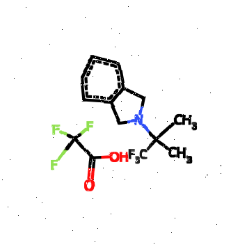 CC(C)(N1Cc2ccccc2C1)C(F)(F)F.O=C(O)C(F)(F)F